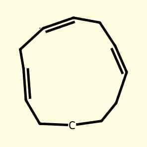 [C]1=CCC=CCCCCC=CC1